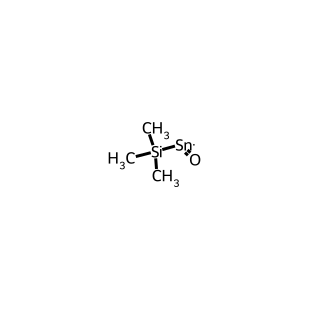 C[Si](C)(C)[Sn]=[O]